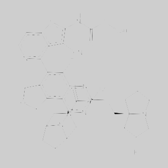 CC(C)(C)OC(=O)Nc1sc2ccnc(-c3c4c(c5c(N6C7CCC6CN(C(=O)OC(C)(C)C)C7)nc(OC[C@@]67CCCN6C[C@H](F)C7)nc5c3F)COC4)c2c1C#N